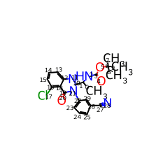 CC(NC(=O)OC(C)(C)C)c1nc2cccc(Cl)c2c(=O)n1-c1cccc(C#N)c1